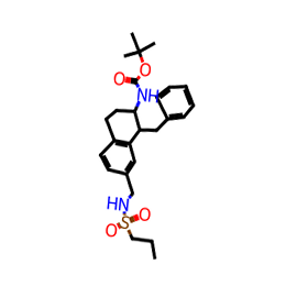 CCCS(=O)(=O)NCc1ccc2c(c1)C(Cc1ccccc1)C(NC(=O)OC(C)(C)C)CC2